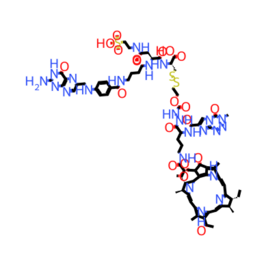 CC[C@H]1c2cc3[nH]c4c(c3C)C(=O)C(C(=O)OC)c4c3nc(cc4[nH]c(cc(n2)[C@@H]1C)c(C(C)=O)c4C)[C@@H](C)[C@@H]3CCC(=O)NCCCC(NC(=O)c1cn2c(=O)n(C)nnc2n1)C(=O)NNC(=O)OCCSSC[C@H](NC(=O)[C@H](CC(=O)NCCS(=O)(=O)O)NC(=O)CCCNC(=O)c1ccc(NCc2cnc3nc(N)[nH]c(=O)c3n2)cc1)C(=O)O